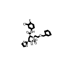 O=C(Nc1ccc(F)c(Cl)c1)[C@H]1C[C@@H](c2nccs2)NS(=O)(=O)N1CCOCc1ccccc1